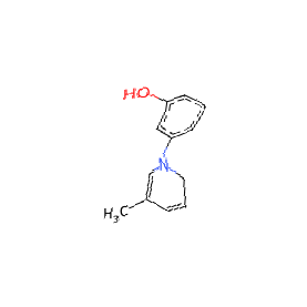 CC1=CN(c2cccc(O)c2)CC=C1